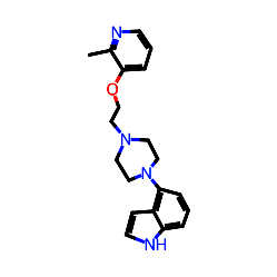 Cc1ncccc1OCCN1CCN(c2cccc3[nH]ccc23)CC1